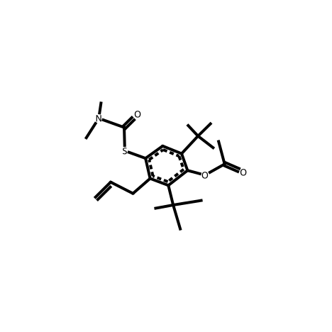 C=CCc1c(SC(=O)N(C)C)cc(C(C)(C)C)c(OC(C)=O)c1C(C)(C)C